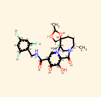 CC1OC[C@]2(CC[C@H](C)N3C[C@H]2n2cc(C(=O)NCc4c(F)cc(F)cc4F)c(=O)c(O)c2C3=O)O1